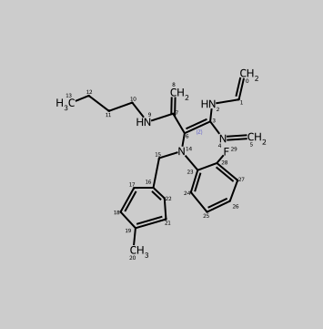 C=CN/C(N=C)=C(\C(=C)NCCCC)N(Cc1ccc(C)cc1)c1ccccc1F